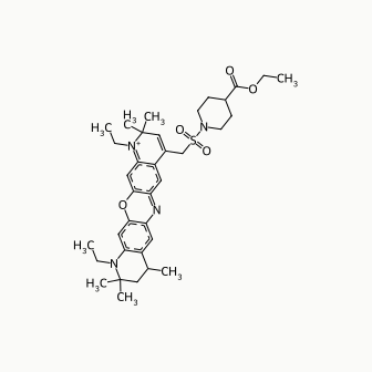 CCOC(=O)C1CCN(S(=O)(=O)CC2=CC(C)(C)[N+](CC)=c3cc4c(cc32)=Nc2cc3c(cc2O4)N(CC)C(C)(C)CC3C)CC1